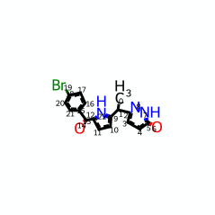 CC(c1ccc(=O)[nH]n1)c1ccc(C(=O)c2ccc(Br)cc2)[nH]1